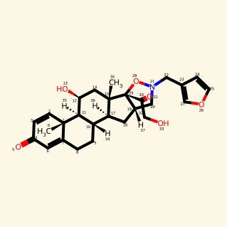 C[C@]12C=CC(=O)C=C1CC[C@@H]1[C@@H]2[C@@H](O)C[C@@]2(C)[C@H]1C[C@H]1CN(Cc3ccoc3)O[C@]12C(=O)CO